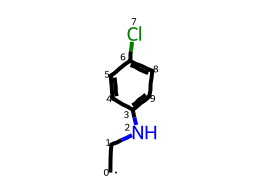 [CH2]CNc1ccc(Cl)cc1